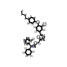 CCCCc1ccc(Oc2ccc(-c3nnc(CO/N=C(/c4ccccc4)c4nnnn4C)o3)cc2Cl)cc1